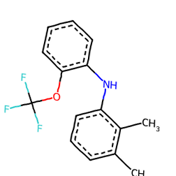 Cc1cccc(Nc2ccccc2OC(F)(F)F)c1C